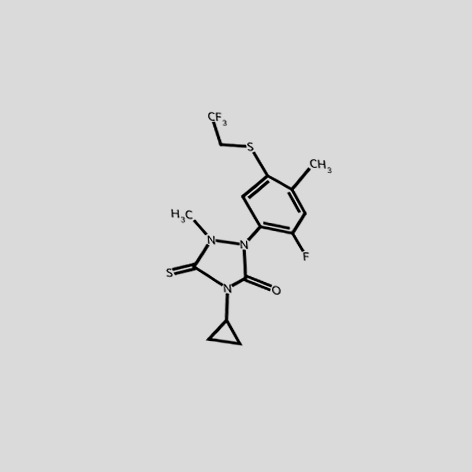 Cc1cc(F)c(-n2c(=O)n(C3CC3)c(=S)n2C)cc1SCC(F)(F)F